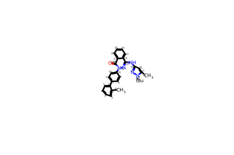 Cc1ccccc1-c1ccc(-n2nc(Nc3cc(C)n(C(C)(C)C)n3)c3ccccc3c2=O)cc1